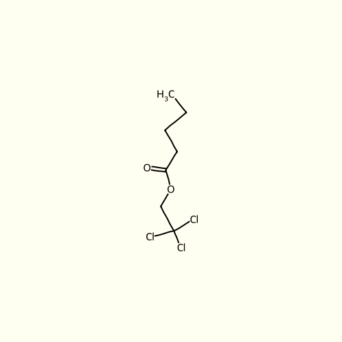 CCCCC(=O)OCC(Cl)(Cl)Cl